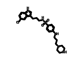 O=S(=O)(NCCCc1c[nH]c2ccc(Cl)cc12)c1ccc(NCCCN2CCNCC2)cc1